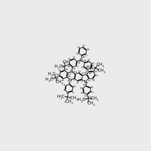 CC(C)(C)c1ccc(N2c3cc4c(cc3B3c5cc(N(c6ccccc6)c6ccccc6)ccc5C(C)(C)c5cc(C(C)(C)C)cc2c53)c2cc(C(C)(C)C)ccc2n4-c2ccc(C(C)(C)C)cc2)cc1